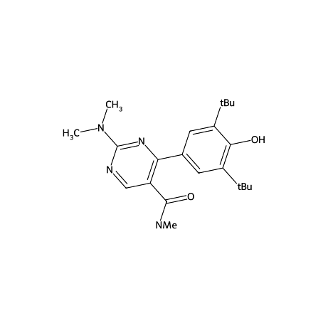 CNC(=O)c1cnc(N(C)C)nc1-c1cc(C(C)(C)C)c(O)c(C(C)(C)C)c1